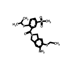 CCSc1cc2c(cc1N)CN(C(=O)c1cc(S(C)(=O)=O)ccc1SC(C)C)C2